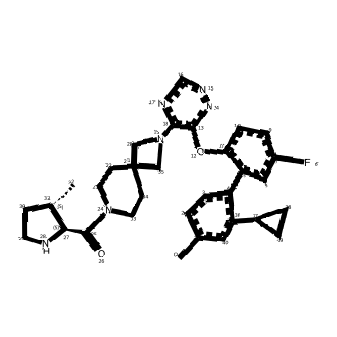 Cc1ccc(-c2cc(F)ccc2Oc2nncnc2N2CC3(CCN(C(=O)[C@H]4NCC[C@@H]4C)CC3)C2)c(C2CC2)c1